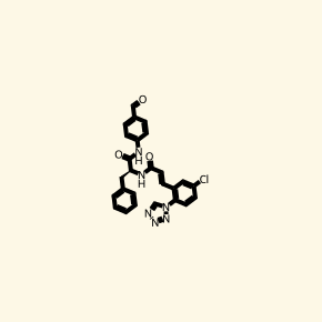 O=Cc1ccc(NC(=O)[C@H](Cc2ccccc2)NC(=O)/C=C/c2cc(Cl)ccc2-n2cnnn2)cc1